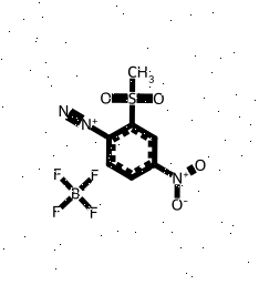 CS(=O)(=O)c1cc([N+](=O)[O-])ccc1[N+]#N.F[B-](F)(F)F